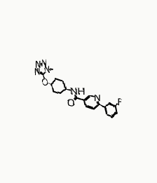 Cn1nnnc1O[C@H]1CC[C@H](NC(=O)c2ccc(-c3cccc(F)c3)nc2)CC1